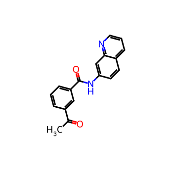 CC(=O)c1cccc(C(=O)Nc2ccc3cccnc3c2)c1